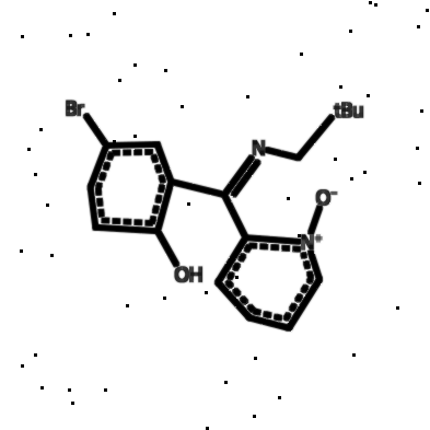 CC(C)(C)CN=C(c1cc(Br)ccc1O)c1cccc[n+]1[O-]